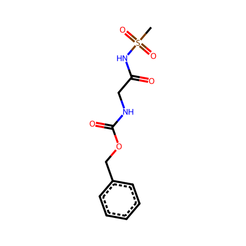 CS(=O)(=O)NC(=O)CNC(=O)OCc1ccccc1